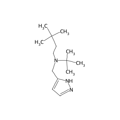 CC(C)(C)CCN(Cc1ccn[nH]1)C(C)(C)C